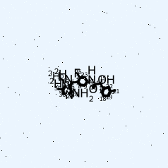 [2H]C([2H])([2H])c1nc(-c2ccc(NC(=O)[C@@H](O)c3cccc(C)c3)cc2F)c2c(N)ncc(C)n12